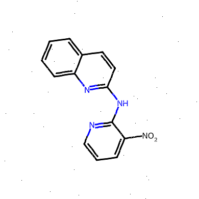 O=[N+]([O-])c1cccnc1Nc1ccc2ccccc2n1